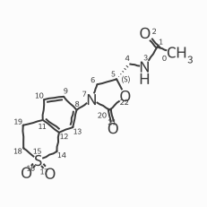 CC(=O)NC[C@H]1CN(c2ccc3c(c2)CS(=O)(=O)CC3)C(=O)O1